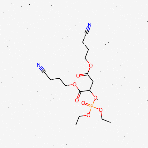 CCOP(=O)(OCC)OC(CC(=O)OCCCC#N)C(=O)OCCCC#N